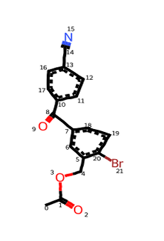 CC(=O)OCc1cc(C(=O)c2ccc(C#N)cc2)ccc1Br